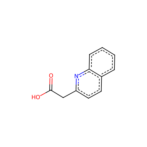 O=C(O)Cc1ccc2ccccc2n1